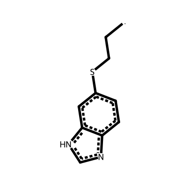 [CH2]CCSc1ccc2nc[nH]c2c1